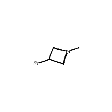 CC(C)C1CN(C)C1